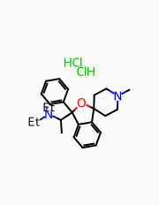 CCN(CC)C(C)C1(c2ccccc2)OC2(CCN(C)CC2)c2ccccc21.Cl.Cl